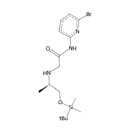 C[C@H](CO[Si](C)(C)C(C)(C)C)NCC(=O)Nc1cccc(Br)n1